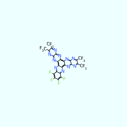 Fc1c(F)c(F)c2nc3c4nc5nc(C(F)(F)F)c(C(F)(F)F)nc5nc4c4nc5nc(C(F)(F)F)c(C(F)(F)F)nc5nc4c3nc2c1F